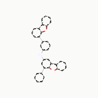 c1ccc(-c2cc(Nc3cccc(-c4cccc5c4oc4ccccc45)c3)cc3c2oc2ccccc23)cc1